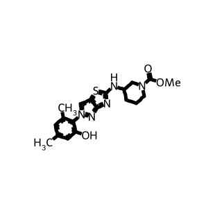 COC(=O)N1CCCC(Nc2nc3nn(-c4c(C)cc(C)cc4O)cc3s2)C1